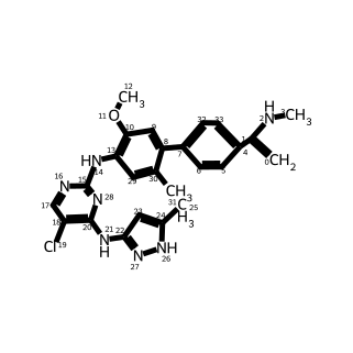 C=C(NC)c1ccc(-c2cc(OC)c(Nc3ncc(Cl)c(Nc4cc(C)[nH]n4)n3)cc2C)cc1